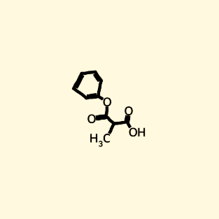 CC(C(=O)O)C(=O)Oc1ccccc1